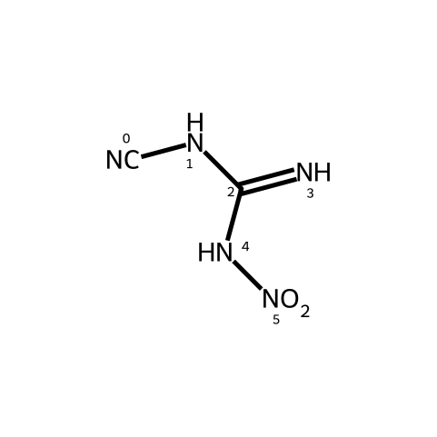 N#CNC(=N)N[N+](=O)[O-]